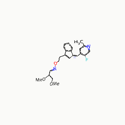 COCC(C=NOCCC1=C/C(=C/c2cc(C)ncc2F)c2ccccc21)OC